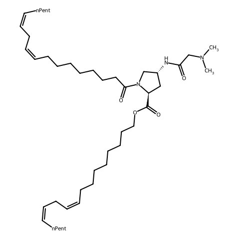 CCCCC/C=C\C/C=C\CCCCCCCCOC(=O)[C@@H]1C[C@@H](NC(=O)CN(C)C)CN1C(=O)CCCCCCC/C=C\C/C=C\CCCCC